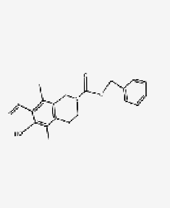 C=Cc1c(C)c2c(c(C)c1O)CCN(C(=O)OCc1ccccc1)C2